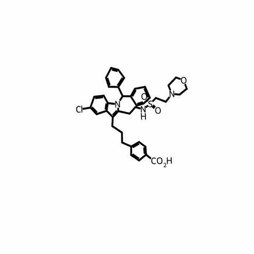 O=C(O)c1ccc(CCCc2c(CCNS(=O)(=O)CCN3CCOCC3)n(C(c3ccccc3)c3ccccc3)c3ccc(Cl)cc23)cc1